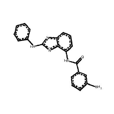 Bc1cccc(C(=O)Nc2cccc3sc(Nc4ccccc4)nc23)c1